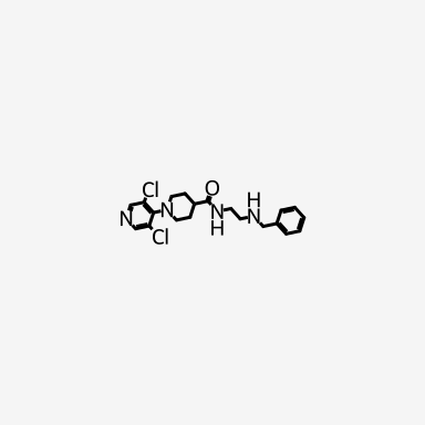 O=C(NCCNCc1ccccc1)C1CCN(c2c(Cl)cncc2Cl)CC1